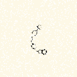 c1ccc2c(c1)CC(Nc1ncc(CCCN3CCC(c4c[nH]nn4)CC3)cn1)C2